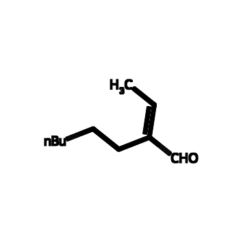 CC=C(C=O)CCCCCC